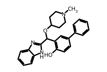 CN1CCC(OC(c2nc3ccccc3[nH]2)c2cc(-c3ccccc3)ccc2O)CC1